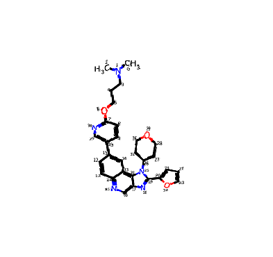 CN(C)CCCOc1ccc(-c2ccc3ncc4nc(-c5ccco5)n(C5CCOCC5)c4c3c2)cn1